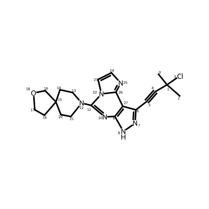 CC(C)(Cl)C#Cc1n[nH]c2nc(N3CCC4(CCOC4)CC3)n3ccnc3c12